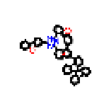 c1ccc(-c2nc(-c3ccc4c(c3)oc3ccccc34)nc(-c3cccc4oc5ccc(-c6cccc(-c7cccc8c7-c7ccccc7C87c8ccccc8-c8ccccc87)c6)cc5c34)n2)cc1